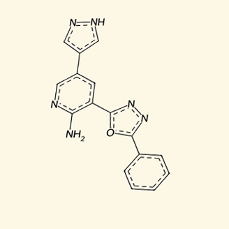 Nc1ncc(-c2cn[nH]c2)cc1-c1nnc(-c2ccccc2)o1